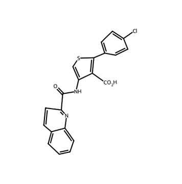 O=C(Nc1csc(-c2ccc(Cl)cc2)c1C(=O)O)c1ccc2ccccc2n1